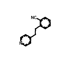 N#Cc1ccccc1CCc1ccncc1